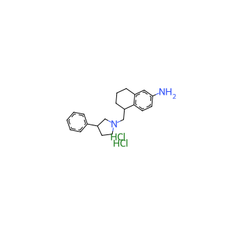 Cl.Cl.Nc1ccc2c(c1)CCCC2CN1CCC(c2ccccc2)C1